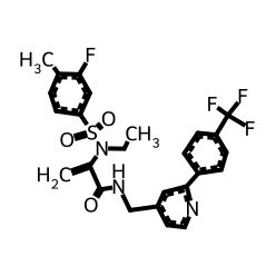 C=C(C(=O)NCc1ccnc(-c2ccc(C(F)(F)F)cc2)c1)N(CC)S(=O)(=O)c1ccc(C)c(F)c1